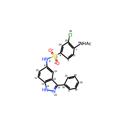 CC(=O)Nc1ccc(S(=O)(=O)Nc2ccc3[nH]nc(-c4ccccc4)c3c2)cc1Cl